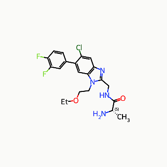 CCOCCn1c(CNC(=O)[C@H](C)N)nc2cc(Cl)c(-c3ccc(F)c(F)c3)cc21